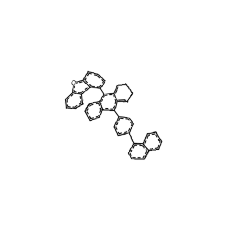 C1=c2c(-c3ccc(-c4cccc5ccccc45)cc3)c3ccccc3c(-c3cccc4oc5ccccc5c34)c2=CCC1